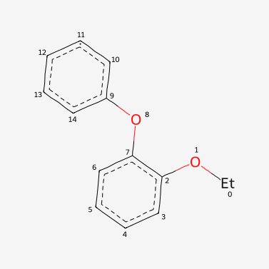 CCOc1ccccc1Oc1c[c]ccc1